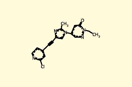 CCn1ncc(-n2cc(C#Cc3ccnc(Cl)c3)nc2C)cc1=O